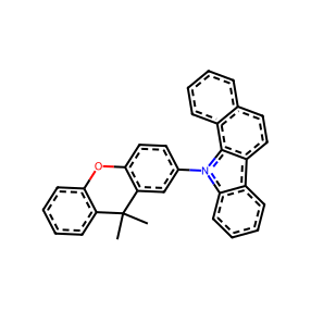 CC1(C)c2ccccc2Oc2ccc(-n3c4ccccc4c4ccc5ccccc5c43)cc21